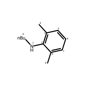 CCCCNc1c(C)cccc1C